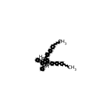 CCCCCC1CCC(c2ccc(-c3ccc(Sc4ccc(Sc5ccc(-c6ccc(C7CCC(CCCCC)CC7)cc6)cc5)c5c4C(=O)c4c(Nc6ccccc6)ccc(Nc6ccccc6)c4C5=O)cc3)cc2)CC1